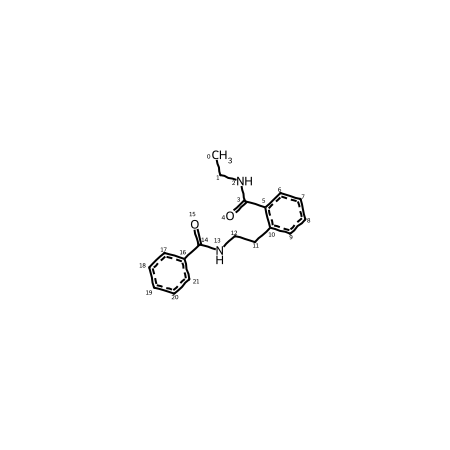 CCNC(=O)c1ccccc1CCNC(=O)c1ccccc1